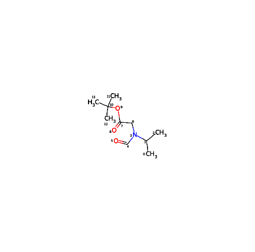 CC(C)N(C=O)CC(=O)OC(C)(C)C